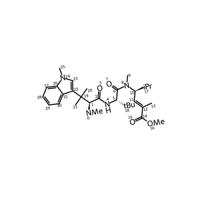 CN[C@H](C(=O)N[C@H](C(=O)N(C)[C@H](/C=C(\C)C(=O)OC)C(C)C)C(C)(C)C)C(C)(C)c1cn(C)c2ccccc12